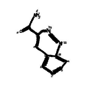 NC(=O)c1cc2ccccc2nn1